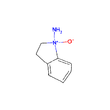 N[N+]1([O-])CCc2ccccc21